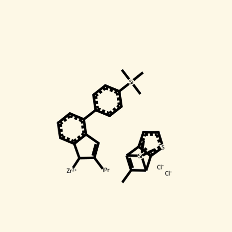 CC(C)C1=Cc2c(-c3ccc([Si](C)(C)C)cc3)cccc2[CH]1[Zr+2].CC1=C2c3ccsc3C1[Si]2(C)C.[Cl-].[Cl-]